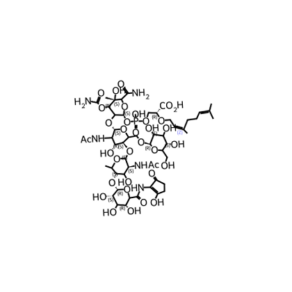 CC(=O)NC1[C@H](OC2[C@H](OP(=O)(O)OC[C@@H](OC/C=C(/C)CCC=C(C)C)C(=O)O)OC(C(N)=O)[C@@](C)(O)[C@@H]2OC(N)=O)OC(CO[C@@H]2OC(CO)[C@@H](O)C(O)[C@@H]2O)[C@@H](O[C@@H]2OC(C)[C@@H](O[C@@H]3OC(C(=O)NC4=C(O)CCC4=O)[C@H](O)C(O)[C@@H]3O)C(O)[C@@H]2NC(C)=O)[C@@H]1O